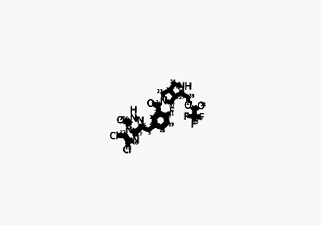 O=C(c1cc(Cc2n[nH]c(=O)n3c(Cl)c(Cl)nc23)ccc1F)N1CC2CNC(COC(=O)C(F)(F)F)C2C1